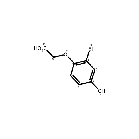 CCc1cc(O)ccc1OCC(=O)O